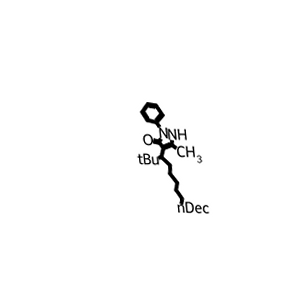 CCCCCCCCCCCCCCCC(c1c(C)[nH]n(-c2ccccc2)c1=O)C(C)(C)C